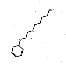 COCCCCOCCOC1C=CC=CC1